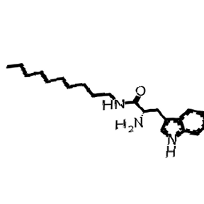 CCCCCCCCCCNC(=O)[C@@H](N)Cc1c[nH]c2ccccc12